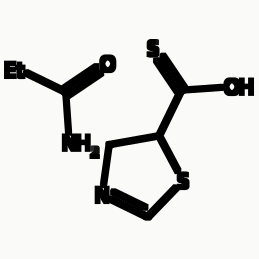 CCC(N)=O.OC(=S)C1CN=CS1